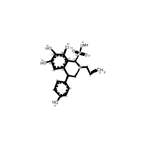 C=CCN1CC(c2ccc(O)cc2)c2cc(O)c(O)c(Cl)c2C1S(=O)(=O)OC